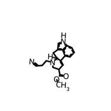 COC(=O)C1C=C2c3cccc4[nH]cc(c34)C[C@H]2N(CCC#N)C1